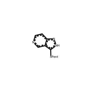 CCCCCc1[nH]nc2ccncc12